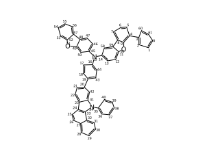 c1ccc(-c2cccc3c2oc2ccc(N(c4ccc(-c5ccc6c7ccc8ccccc8c7n(-c7ccccc7)c6c5)cc4)c4ccc5c(c4)oc4ccccc45)cc23)cc1